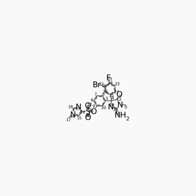 CN1C(=O)C(c2cccc(OS(=O)(=O)c3cn(C)cn3)c2)(c2ccc(F)c(Br)c2)N=C1N